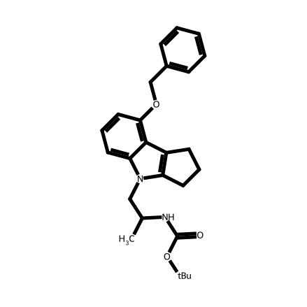 CC(Cn1c2c(c3c(OCc4ccccc4)cccc31)CCC2)NC(=O)OC(C)(C)C